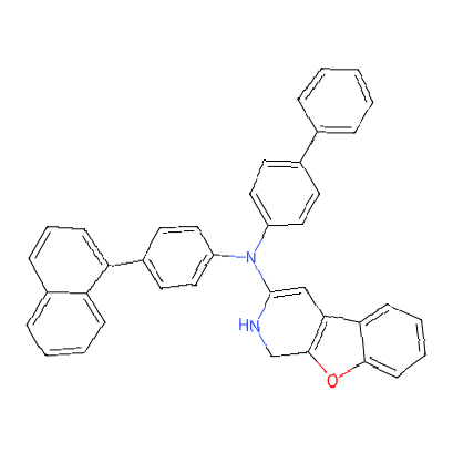 C1=C(N(c2ccc(-c3ccccc3)cc2)c2ccc(-c3cccc4ccccc34)cc2)NCc2oc3ccccc3c21